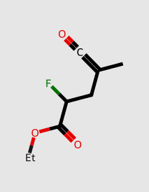 CCOC(=O)C(F)CC(C)=C=O